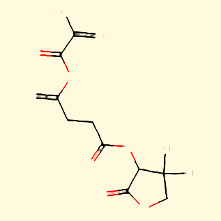 C=C(CCC(=O)OC1C(=O)OCC1(C)C)OC(=O)C(=C)C